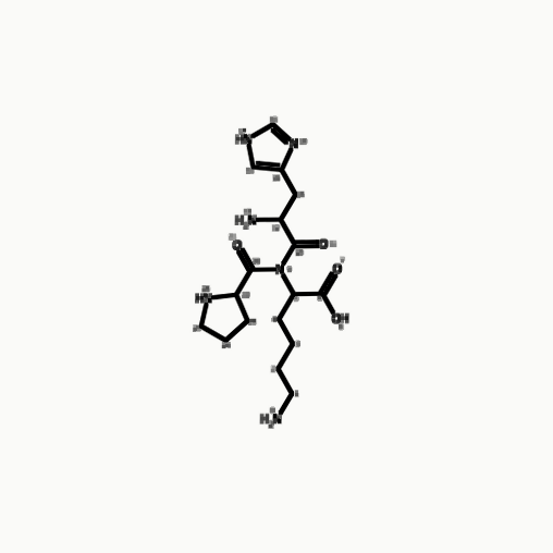 NCCCCC(C(=O)O)N(C(=O)C(N)Cc1c[nH]cn1)C(=O)C1CCCN1